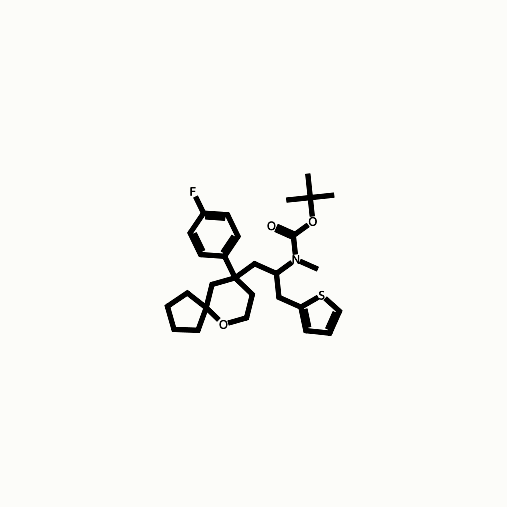 CN(C(=O)OC(C)(C)C)C(Cc1cccs1)CC1(c2ccc(F)cc2)CCOC2(CCCC2)C1